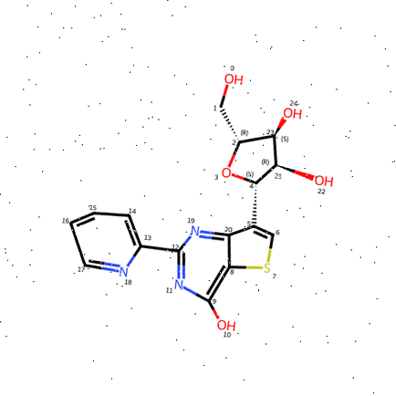 OC[C@H]1O[C@@H](c2csc3c(O)nc(-c4ccccn4)nc23)[C@H](O)[C@@H]1O